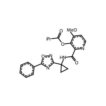 COc1ccnc(C(=O)NC2(c3noc(-c4ccccc4)n3)CC2)c1OC(=O)C(C)C